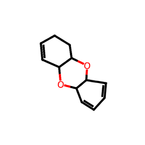 C1=CC2OC3C=CCCC3OC2C=C1